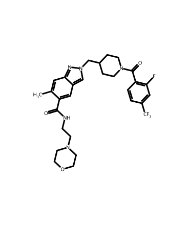 Cc1cc2nn(CC3CCN(C(=O)c4ccc(C(F)(F)F)cc4F)CC3)cc2cc1C(=O)NCCN1CCOCC1